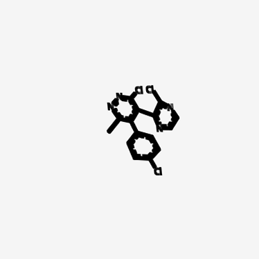 Cc1nnc(Cl)c(-c2nccnc2Cl)c1-c1ccc(Cl)cc1